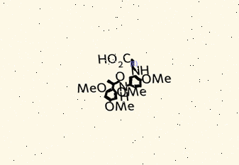 C=C(C(=O)Nc1ccc(OC)c(N/C=C/C(=O)O)c1)c1c(OC)cc(OC)cc1OC